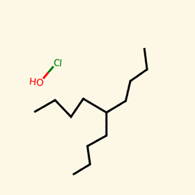 CCCCC(CCCC)CCCC.OCl